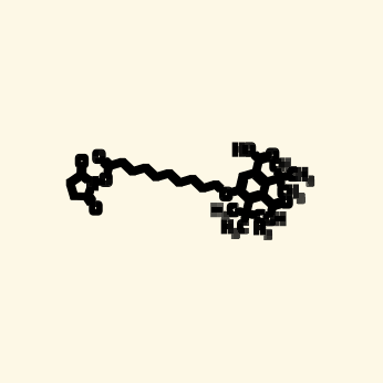 CC(C)(C)c1c(OCCCCCCCCCC(=O)ON2C(=O)CCC2=O)cc(C(=O)O)c(C(C)(C)C)c1C(=O)O